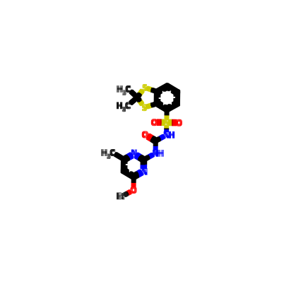 CCOc1cc(C)nc(NC(=O)NS(=O)(=O)c2cccc3c2SC(C)(C)S3)n1